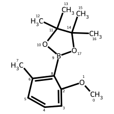 COc1cccc(C)c1B1OC(C)(C)C(C)(C)O1